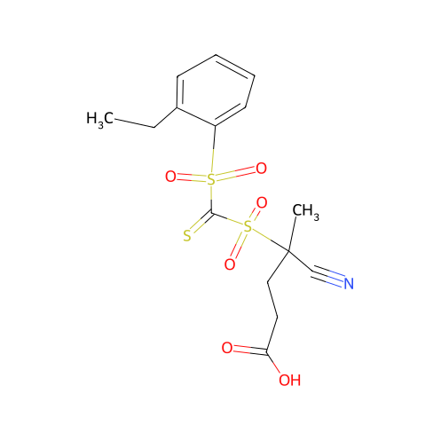 CCc1ccccc1S(=O)(=O)C(=S)S(=O)(=O)C(C)(C#N)CCC(=O)O